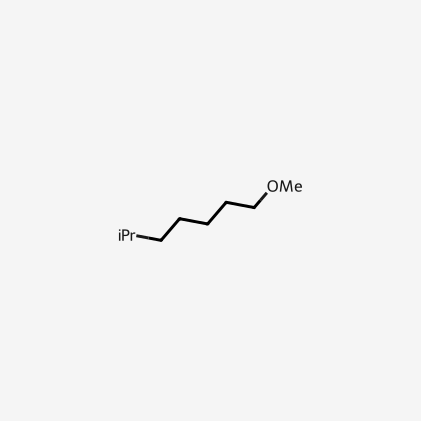 COCCCCCC(C)C